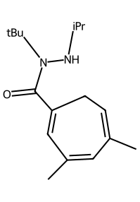 CC1=CCC(C(=O)N(NC(C)C)C(C)(C)C)=CC(C)=C1